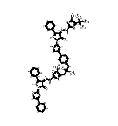 Cc1nc(N/N=C2\C(=O)N(c3nc(-c4ccc(CC(C)(C)Cc5nc(N/N=C6\C(=O)N(c7nc(-c8ccccc8)cs7)N=C6c6ccccc6)sc5C)cc4)cs3)N=C2c2ccccc2)sc1C(C)(C)C